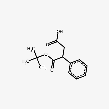 CC(C)(C)OC(=O)C(CC(=O)O)c1ccccc1